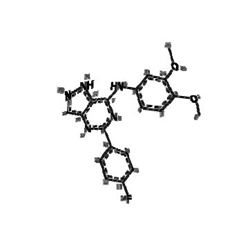 COc1ccc(Nc2nc(-c3ccc(F)cc3)nc3cn[nH]c23)cc1OC